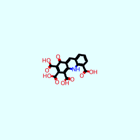 O=C(O)c1c2[nH]c3c(C(=O)O)cccc3cc-2c(=O)c(C(=O)O)c1C(=O)O